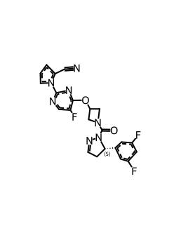 N#Cc1cccn1-c1ncc(F)c(OC2CN(C(=O)N3N=CC[C@H]3c3cc(F)cc(F)c3)C2)n1